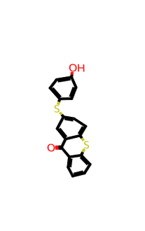 O=c1c2ccccc2sc2ccc(Sc3ccc(O)cc3)cc12